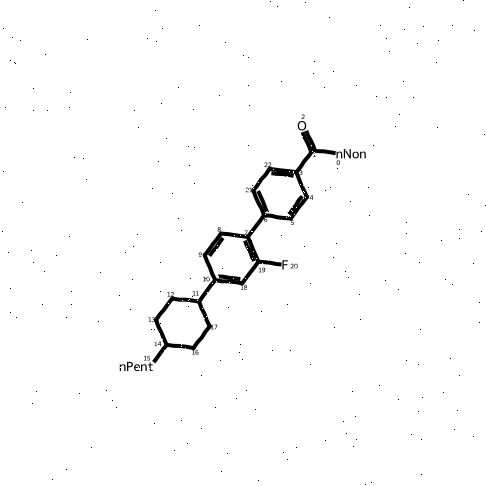 CCCCCCCCCC(=O)c1ccc(-c2ccc(C3CCC(CCCCC)CC3)cc2F)cc1